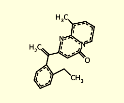 C=C(c1cc(=O)n2cccc(C)c2n1)c1ccccc1CC